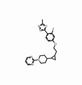 Cc1nnc(-c2ccc(OCCC3CC3C3CCN(c4ncccn4)CC3)cc2F)o1